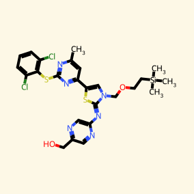 Cc1cc(-c2cn(COCC[Si](C)(C)C)/c(=N/c3cnc(CO)cn3)s2)nc(Sc2c(Cl)cccc2Cl)n1